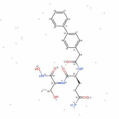 C[C@@H](O)[C@H](NC(=O)[C@H](CCC(N)=O)NC(=O)Cc1ccc(-c2ccccc2)cc1)C(=O)NO